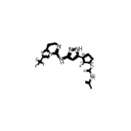 CC(C)NC(=O)O[C@@H]1CC[C@H](c2cc(Nc3nccc4nc(C(F)(F)F)cn34)n[nH]2)[C@@H]1F